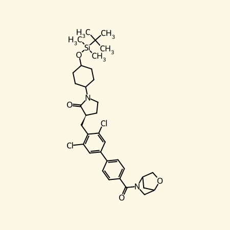 CC(C)(C)[Si](C)(C)OC1CCC(N2CC[C@@H](Cc3c(Cl)cc(-c4ccc(C(=O)N5CC6CC5CO6)cc4)cc3Cl)C2=O)CC1